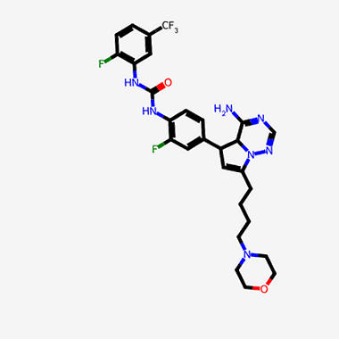 NC1=NC=NN2C(CCCCN3CCOCC3)=CC(c3ccc(NC(=O)Nc4cc(C(F)(F)F)ccc4F)c(F)c3)C12